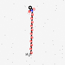 COCCOCCOCCOCCOCCOCCOCCOCCOCCOCCOCCN1C(=O)c2ccccc2C1=O